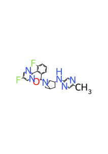 Cc1cnc(NC2CC3CC2N(C(=O)c2cccc(F)c2-c2ncc(F)cn2)C3)cn1